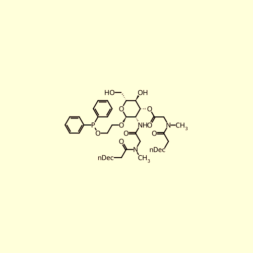 CCCCCCCCCCCC(=O)N(C)CC(=O)N[C@@H]1[C@@H](OCCOP(c2ccccc2)c2ccccc2)O[C@H](CO)[C@@H](O)[C@@H]1OC(=O)CN(C)C(=O)CCCCCCCCCCC